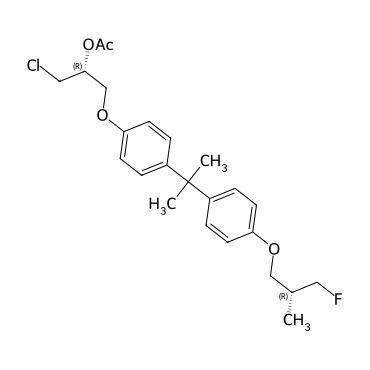 CC(=O)O[C@@H](CCl)COc1ccc(C(C)(C)c2ccc(OC[C@@H](C)CF)cc2)cc1